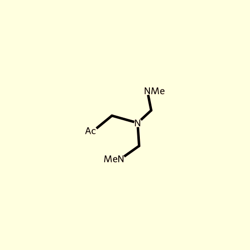 CNCN(CNC)CC(C)=O